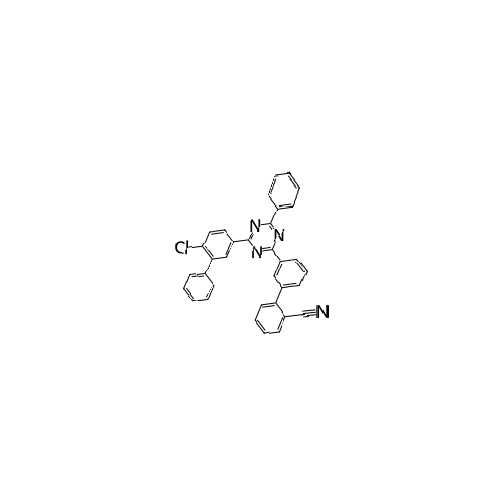 N#Cc1ccccc1-c1cccc(-c2nc(-c3ccccc3)nc(-c3ccc(Cl)c(-c4ccccc4)c3)n2)c1